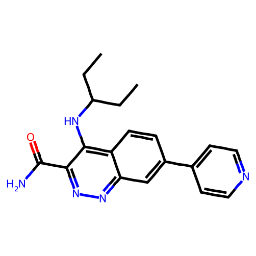 CCC(CC)Nc1c(C(N)=O)nnc2cc(-c3ccncc3)ccc12